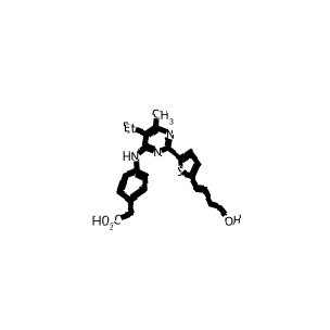 CCc1c(C)nc(-c2ccc(/C=C/CCO)s2)nc1Nc1ccc(CC(=O)O)cc1